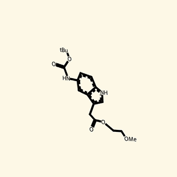 COCCOC(=O)Cc1c[nH]c2ccc(NC(=O)OC(C)(C)C)cc12